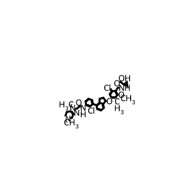 COc1c(C)c(OC2CCc3c(-c4cccc(NC(=O)c5nc6c(n5C)CCN(C)C6)c4Cl)cccc32)cc(Cl)c1CNC1(C(=O)O)CC1